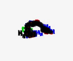 Cc1nc2ccc(-c3ccnc(N)c3)nc2n1-c1cc(Cl)c(N2CCN(CC#Cc3ccc(N4CCC(C(=O)N5CCC(N/C=C(\C=N)CNc6cccc7c6C(=O)N(C6CCC(=O)NC6=O)C7=O)CC5)CC4)nc3)CC2)c(Cl)c1